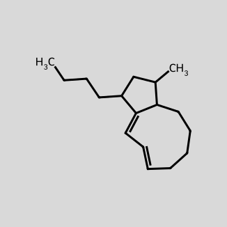 CCCCC1CC(C)C2CCCC/C=C/C=C/12